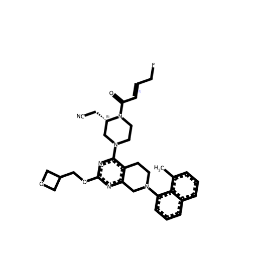 Cc1cccc2cccc(N3CCc4c(nc(OCC5COC5)nc4N4CCN(C(=O)/C=C/CF)[C@@H](CC#N)C4)C3)c12